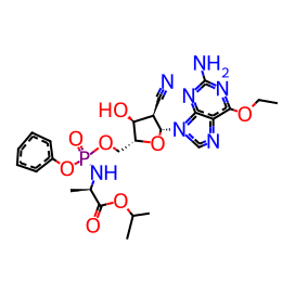 CCOc1nc(N)nc2c1ncn2[C@@H]1O[C@H](COP(=O)(N[C@H](C)C(=O)OC(C)C)Oc2ccccc2)[C@@H](O)[C@H]1C#N